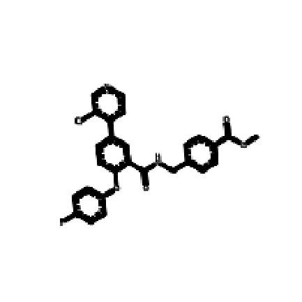 COC(=O)c1ccc(CNC(=O)c2cc(-c3ccncc3Cl)ccc2Oc2ccc(F)cc2)cc1